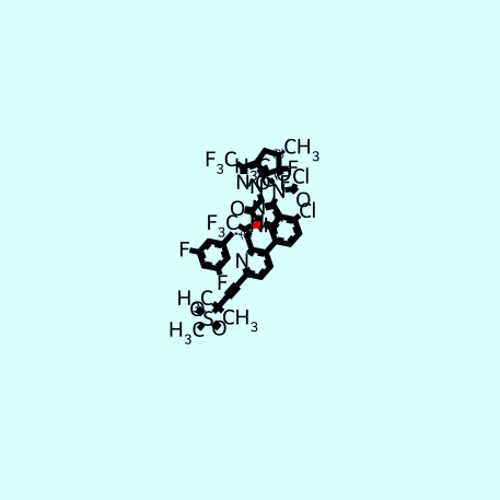 C[C@@H]1Cc2c(C(F)(F)F)nn(CC(=O)N[C@@H](Cc3cc(F)cc(F)c3)c3nc(C#CC(C)(C)S(C)(=O)=O)ccc3-c3ccc(Cl)c4c(N(C(=O)Cl)S(C)(=O)=O)nn(CC(F)(F)F)c34)c2C1(F)F